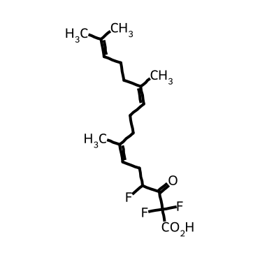 CC(C)=CCCC(C)=CCCC(C)=CCC(F)C(=O)C(F)(F)C(=O)O